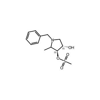 CC1[C@H](OS(C)(=O)=O)[C@@H](O)CN1Cc1ccccc1